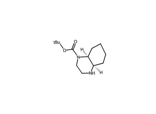 CC(C)(C)OC(=O)N1CCN[C@@H]2CCCC[C@@H]21